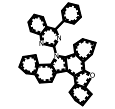 c1ccc(-c2nc(-n3c4c5ccccc5ccc4c4c5c6ccccc6oc5c5ccccc5c43)nc3ccccc23)cc1